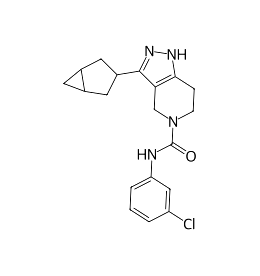 O=C(Nc1cccc(Cl)c1)N1CCc2[nH]nc(C3CC4CC4C3)c2C1